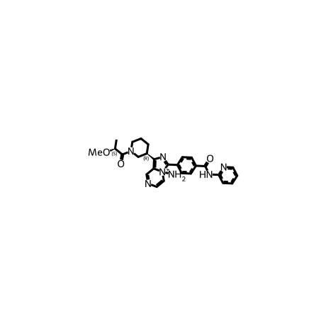 CO[C@@H](C)C(=O)N1CCC[C@@H](C2=C3C=NC=C[N+]3(N)C(c3ccc(C(=O)Nc4ccccn4)cc3)=N2)C1